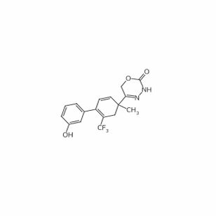 CC1(C2=NNC(=O)OC2)C=CC(c2cccc(O)c2)=C(C(F)(F)F)C1